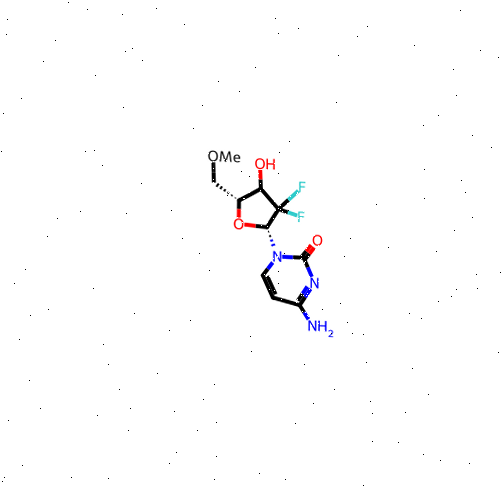 COC[C@H]1O[C@@H](n2ccc(N)nc2=O)C(F)(F)C1O